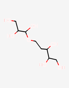 OCC(O)C(O)CCOC(O)C(O)CO